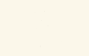 COC1CCCC(C(C)CC2C[C@H](C(C)C)[C@H](OC)C2)C1